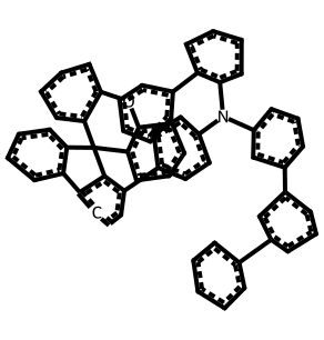 c1ccc(-c2cccc(-c3cccc(N(c4ccc(-c5cccc6c5C5(c7ccccc7Oc7ccccc75)c5ccccc5-6)cc4)c4ccccc4-c4ccccc4)c3)c2)cc1